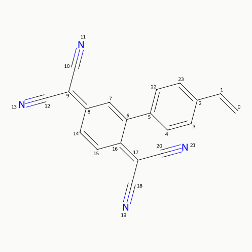 C=Cc1ccc(-c2cc(=C(C#N)C#N)ccc2=C(C#N)C#N)cc1